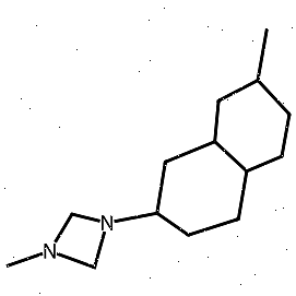 CC1CCC2CCC(N3CN(C)C3)CC2C1